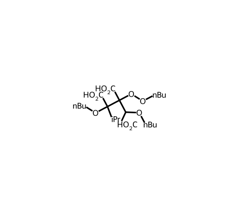 CCCCOOC(C(=O)O)(C(OCCCC)C(=O)O)C(OCCCC)(C(=O)O)C(C)C